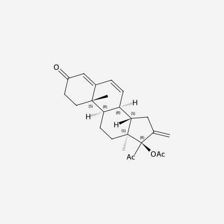 C=C1C[C@H]2[C@@H]3C=CC4=CC(=O)CC[C@@]4(C)[C@@H]3CC[C@]2(C)[C@@]1(OC(C)=O)C(C)=O